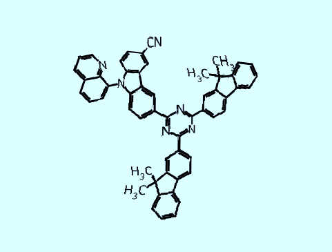 CC1(C)c2ccccc2-c2ccc(-c3nc(-c4ccc5c(c4)C(C)(C)c4ccccc4-5)nc(-c4ccc5c(c4)c4cc(C#N)ccc4n5-c4cccc5cccnc45)n3)cc21